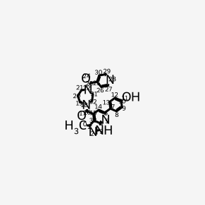 Cc1n[nH]c2nc(-c3ccc(O)cc3)cc(C(=O)N3CCCN(C(=O)c4ccncc4)CC3)c12